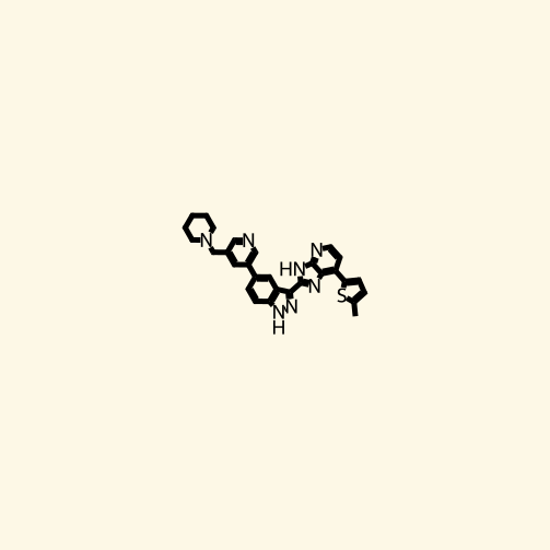 Cc1ccc(-c2ccnc3[nH]c(-c4n[nH]c5ccc(-c6cncc(CN7CCCCC7)c6)cc45)nc23)s1